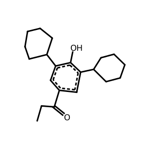 CCC(=O)c1cc(C2CCCCC2)c(O)c(C2CCCCC2)c1